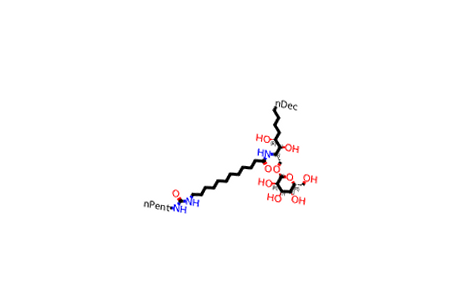 CCCCCCCCCCCCCC[C@@H](O)[C@@H](O)[C@H](CO[C@H]1O[C@H](CO)[C@H](O)[C@H](O)[C@H]1O)NC(=O)CCCCCCCCCCCNC(=O)NCCCCC